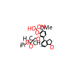 COc1ccc(-c2cccc3c2CCC3=O)c(OCC(C)(C)C(=O)OC(C)C)c1OC(O)O